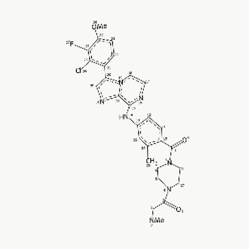 CNCC(=O)N1CCN(C(=O)c2ccc(Nc3nccn4c(-c5ccc(OC)c(F)c5Cl)cnc34)cc2C)CC1